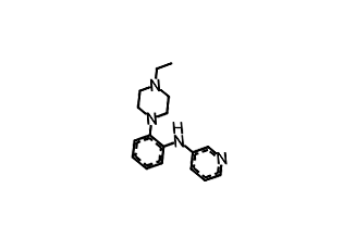 CCN1CCN(c2ccccc2Nc2cccnc2)CC1